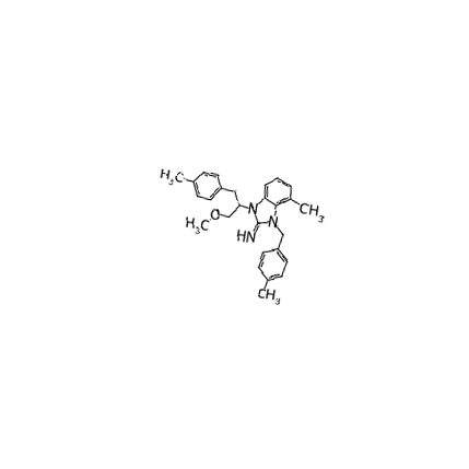 COCC(Cc1ccc(C)cc1)n1c(=N)n(Cc2ccc(C)cc2)c2c(C)cccc21